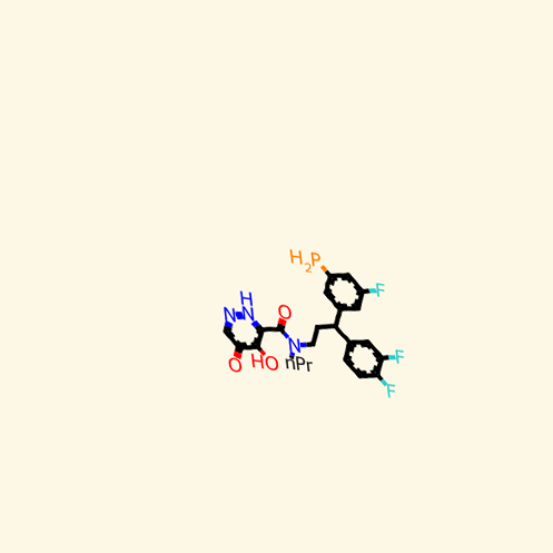 CCCN(CCC(c1cc(F)cc(P)c1)c1ccc(F)c(F)c1)C(=O)c1[nH]ncc(=O)c1O